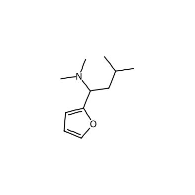 CC(C)CC(c1ccco1)N(C)C